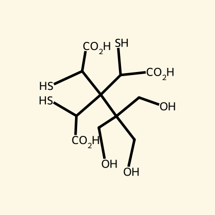 O=C(O)C(S)C(C(S)C(=O)O)(C(S)C(=O)O)C(CO)(CO)CO